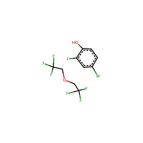 FC(F)(F)COCC(F)(F)F.Oc1ccc(Br)cc1F